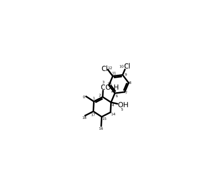 CC1=C(C(=O)O)C(O)(c2ccc(Cl)c(Cl)c2)CC(C)C1C